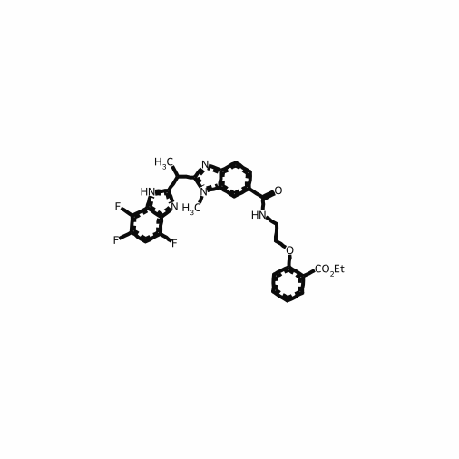 CCOC(=O)c1ccccc1OCCNC(=O)c1ccc2nc(C(C)c3nc4c(F)cc(F)c(F)c4[nH]3)n(C)c2c1